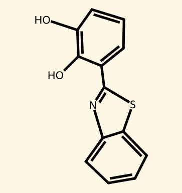 Oc1cccc(-c2nc3ccccc3s2)c1O